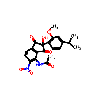 COc1cc(C(C)C)ccc1C1(O)C(=O)c2ccc([N+](=O)[O-])c(NC(C)=O)c2C1=O